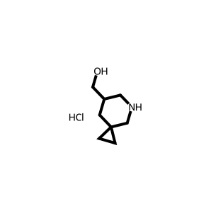 Cl.OCC1CNCC2(CC2)C1